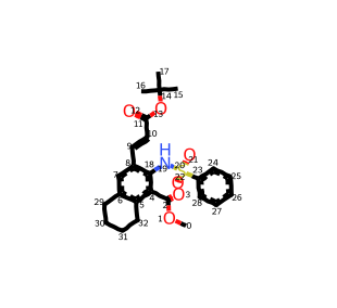 COC(=O)c1c2c(cc(/C=C/C(=O)OC(C)(C)C)c1NS(=O)(=O)c1ccccc1)CCCC2